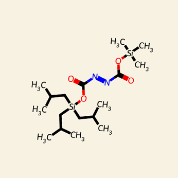 CC(C)C[Si](CC(C)C)(CC(C)C)OC(=O)/N=N/C(=O)O[Si](C)(C)C